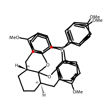 COc1ccc(P(c2ccc(OC)cc2)c2cccc3c2OC24Oc5c(cccc5P(c5ccc(OC)cc5)c5ccc(OC)cc5)C[C@H]2CCC[C@@H]4C3)cc1